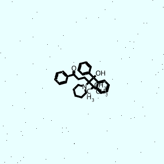 CC(C)(C)C(CCC(=O)c1ccccc1)(N1CCCCC1)C(O)(c1ccccc1)c1ccccc1